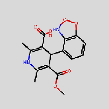 COC(=O)C1=C(C)NC(C)=C(C(=O)O)C1c1cccc2c1NOO2